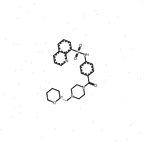 O=C(c1ccc(NS(=O)(=O)c2cccc3cccnc23)cc1)N1CCN(C[C@H]2CCCCO2)CC1